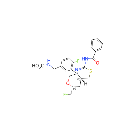 O=C(O)NCc1ccc(F)c(C23CO[C@@H](CF)C[C@H]2CSC(NC(=O)c2ccccc2)=N3)c1